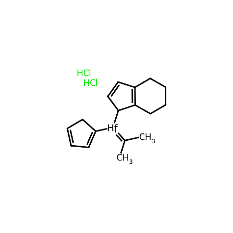 C[C](C)=[Hf]([C]1=CC=CC1)[CH]1C=CC2=C1CCCC2.Cl.Cl